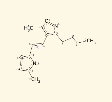 CCCCc1noc(C)c1/C=C/c1nc(C)cs1